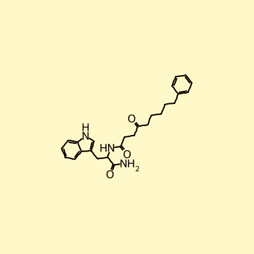 NC(=O)C(Cc1c[nH]c2ccccc12)NC(=O)CCC(=O)CCCCCc1ccccc1